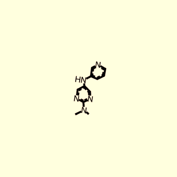 CN(C)c1ncc(Nc2cccnc2)cn1